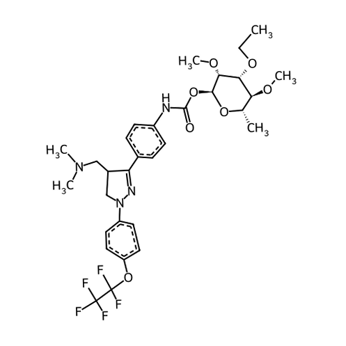 CCO[C@@H]1[C@@H](OC)[C@H](C)O[C@@H](OC(=O)Nc2ccc(C3=NN(c4ccc(OC(F)(F)C(F)(F)F)cc4)CC3CN(C)C)cc2)[C@@H]1OC